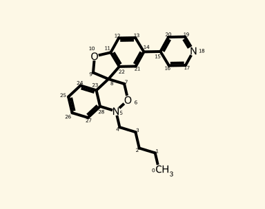 CCCCCN1OCC2(COc3ccc(-c4ccncc4)cc32)c2ccccc21